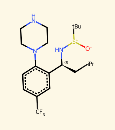 CC(C)C[C@H](N[S+]([O-])C(C)(C)C)c1cc(C(F)(F)F)ccc1N1CCNCC1